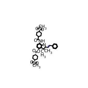 CC1(C)C(/C=C/c2ccccc2)=Nc2c(NC(=O)C3CCC(S(C)(=O)=O)CC3)ccc(OC(=O)[C@H]3CC[C@H](S(C)(=O)=O)CC3)c21